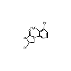 CCC1CN(c2cccc(Br)c2C)C(=O)N1